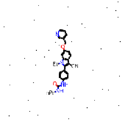 CCCNC(=O)Nc1ccc(-c2c(C#N)c3ccc(OCc4cccnc4)cc3n2CC)cc1